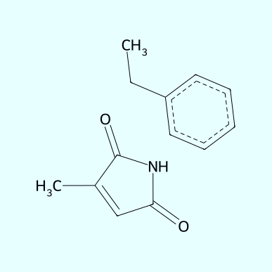 CC1=CC(=O)NC1=O.CCc1ccccc1